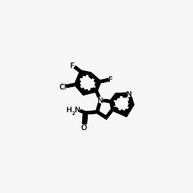 NC(=O)C1Cc2ccncc2N1c1cc(Cl)c(F)cc1F